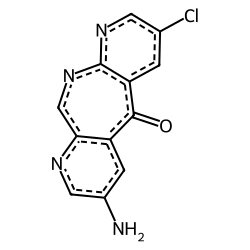 Nc1cnc2cnc3ncc(Cl)cc3c(=O)c2c1